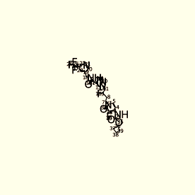 O=C(Nc1ccn(CCC(F)Cn2cc(C(=O)NCc3cncc(C(F)(F)F)c3)nn2)c(=O)c1F)OC1CCC1